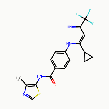 Cc1ncsc1NC(=O)c1ccc(N/C(=C\C(=N)C(F)(F)F)C2CC2)cc1